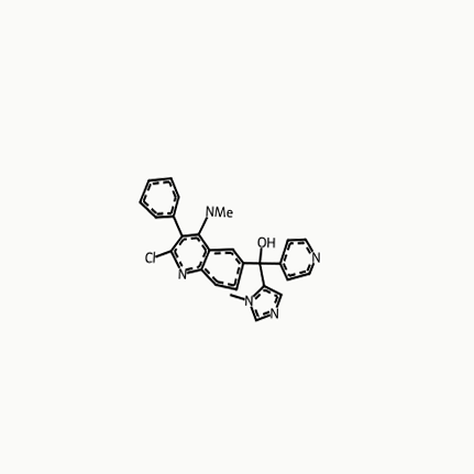 CNc1c(-c2ccccc2)c(Cl)nc2ccc(C(O)(c3ccncc3)c3cncn3C)cc12